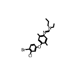 CCCN(/C=N/c1cc(C)c(Oc2ccc(Br)c(Cl)c2)cc1C)CC